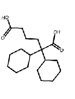 O=C(O)CCCC(C(=O)O)(C1CCCCC1)C1CCCCC1